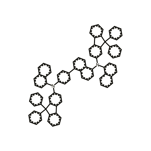 c1ccc(C2(c3ccccc3)c3ccccc3-c3ccc(N(c4ccc(-c5cccc6c(N(c7ccc8c(c7)C(c7ccccc7)(c7ccccc7)c7ccccc7-8)c7cccc8ccccc78)cccc56)cc4)c4cccc5ccccc45)cc32)cc1